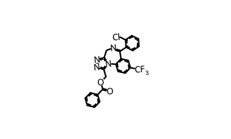 O=C(OCc1nnc2n1-c1ccc(C(F)(F)F)cc1C(c1ccccc1Cl)=NC2)c1ccccc1